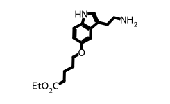 CCOC(=O)CCCCOc1ccc2[nH]cc(CCN)c2c1